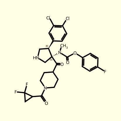 CN(C(=O)Oc1ccc(F)cc1)[C@]1(C(=O)C2CCN(C(=O)C3CC3(F)F)CC2)CNC[C@H]1c1ccc(Cl)c(Cl)c1